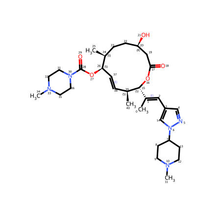 C/C(=C\c1cnn(C2CCN(C)CC2)c1)[C@H]1OC(=O)C[C@H](O)CC[C@H](C)[C@H](OC(=O)N2CCN(C)CC2)/C=C/[C@@H]1C